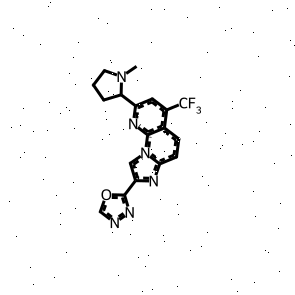 CN1CCCC1c1cc(C(F)(F)F)c2ccc3nc(-c4nnco4)cn3c2n1